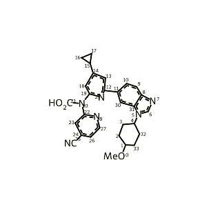 COC1CCC(n2cnc3ccc(-c4cc(C5CC5)cc(N(C(=O)O)c5cc(C#N)ccn5)n4)cc32)CC1